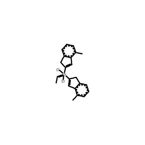 C[CH]=[Zr]([Cl])([Cl])([C]1=Cc2c(C)cccc2C1)[C]1=Cc2c(C)cccc2C1